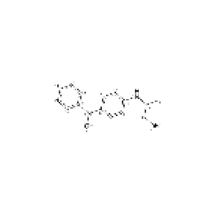 CC(C)CC(C)Nc1ccc(N(O)c2ccccc2)cc1